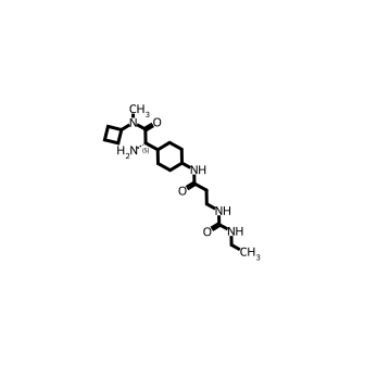 CCNC(=O)NCCC(=O)NC1CCC([C@H](N)C(=O)N(C)C2CCC2)CC1